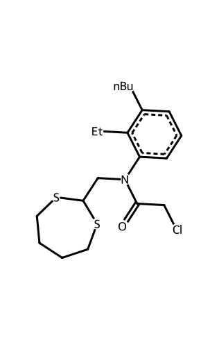 CCCCc1cccc(N(CC2SCCCCS2)C(=O)CCl)c1CC